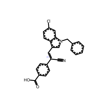 N#C/C(=C\c1cn(Cc2ccccc2)c2cc(Cl)ccc12)c1ccc(C(=O)O)cc1